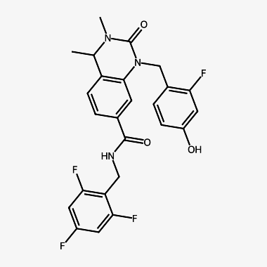 CC1c2ccc(C(=O)NCc3c(F)cc(F)cc3F)cc2N(Cc2ccc(O)cc2F)C(=O)N1C